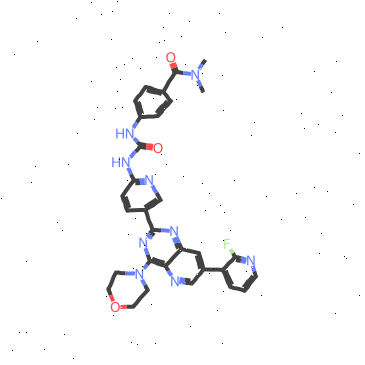 CN(C)C(=O)c1ccc(NC(=O)Nc2ccc(-c3nc(N4CCOCC4)c4ncc(-c5cccnc5F)cc4n3)cn2)cc1